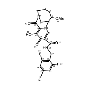 COC1CCCN2CC1n1cc(C(=O)NCc3c(F)cc(F)cc3F)c(=O)c(O)c1C2=O